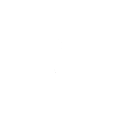 N#C[C@H]1CC[C@H](c2ccccc2)CC1